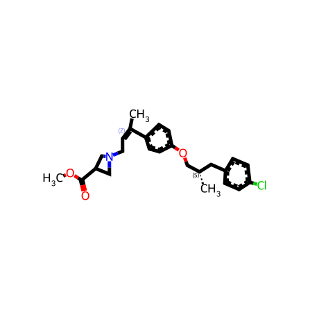 COC(=O)C1CN(C/C=C(/C)c2ccc(OC[C@@H](C)Cc3ccc(Cl)cc3)cc2)C1